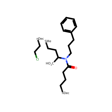 CCCCCCCCCCCCCC(=O)N(CCCc1ccccc1)C(CCSC)C(=O)O.CCCCCCCCCCCCCl